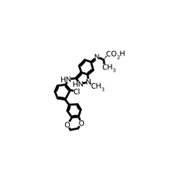 C[C@H](N=c1ccc2c(Nc3cccc(-c4ccc5c(c4)OCCO5)c3Cl)[nH]n(C)c-2c1)C(=O)O